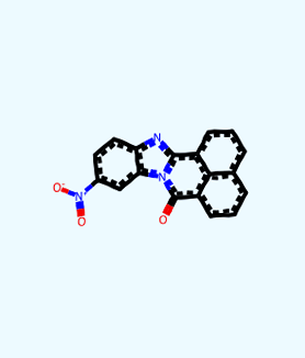 O=c1c2cccc3cccc(c32)c2nc3ccc([N+](=O)[O-])cc3n12